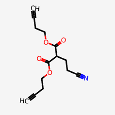 C#CCCOC(=O)C(CCC#N)C(=O)OCCC#C